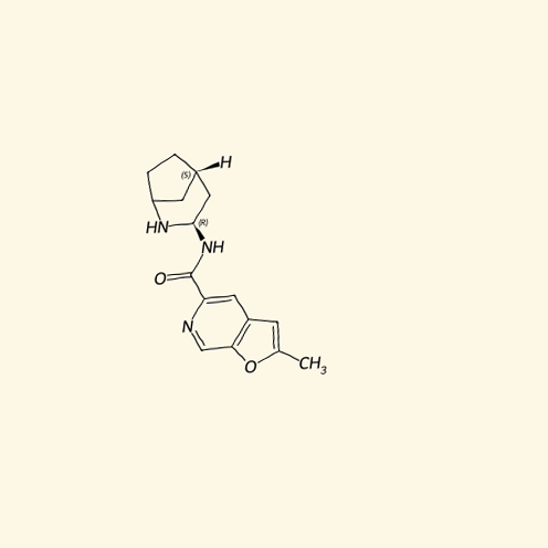 Cc1cc2cc(C(=O)N[C@@H]3C[C@H]4CCC(C4)N3)ncc2o1